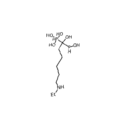 CCNCCCCCC(O)(PO)[PH](O)(O)O